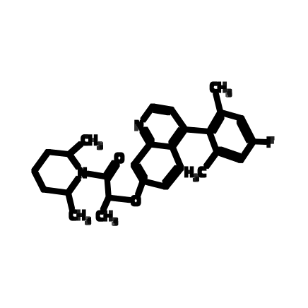 Cc1cc(F)cc(C)c1-c1ccnc2cc(OC(C)C(=O)N3C(C)CCCC3C)ccc12